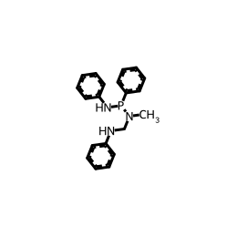 CN(CNc1ccccc1)P(Nc1ccccc1)c1ccccc1